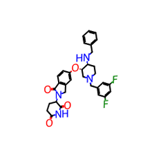 O=C1CCC(N2Cc3cc(O[C@H]4CN(Cc5cc(F)cc(F)c5)CC[C@@H]4NCc4ccccc4)ccc3C2=O)C(=O)N1